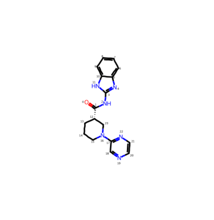 O=C(Nc1nc2ccccc2[nH]1)[C@H]1CCCN(c2cnccn2)C1